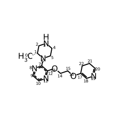 C[C@@H]1CNCCN1c1nccnc1OCCOC1=CN=CCC1